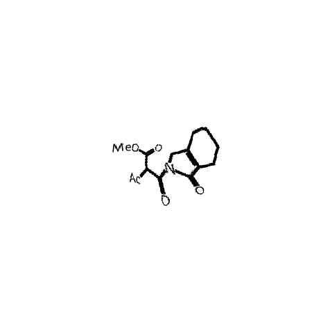 COC(=O)C(C(C)=O)C(=O)N1CC2=C(CCCC2)C1=O